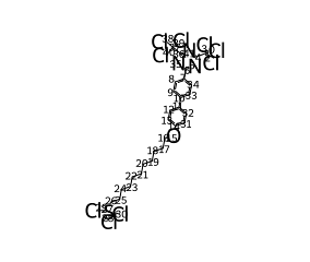 ClC(Cl)(Cl)c1nc(-c2ccc(-c3ccc(OCCCCCCCCCCCS(Cl)(Cl)Cl)cc3)cc2)nc(C(Cl)(Cl)Cl)n1